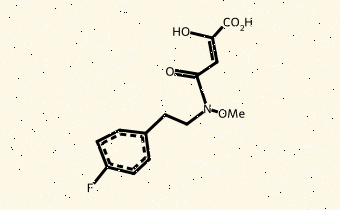 CON(CCc1ccc(F)cc1)C(=O)C=C(O)C(=O)O